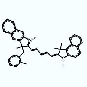 Cc1ccccc1CC1(C)C(/C=C/C=C/C=C2/N(C)c3ccc4ccccc4c3C2(C)C)=[N+](C)c2cc3ccccc3cc21